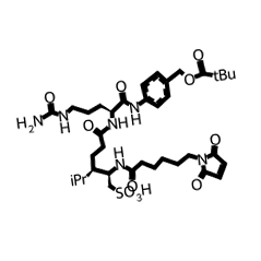 CC(C)[C@@H](CCC(=O)N[C@@H](CCCNC(N)=O)C(=O)Nc1ccc(COC(=O)C(C)(C)C)cc1)[C@H](CS(=O)(=O)O)NC(=O)CCCCCN1C(=O)C=CC1=O